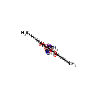 CCCCCCCCCCCCCCCC(=O)OCCCOC(=O)C1=C(C)NC(C)=C(C(=O)OCCCOC(=O)CCCCCCCCCCCCCCC)C1c1ccc[n+](C)c1.I.[I-]